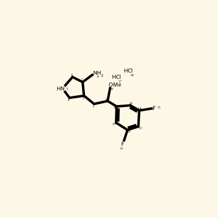 COC(CC1CNCC1N)c1cc(F)cc(F)c1.Cl.Cl